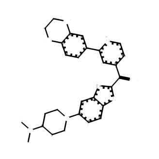 CN(C)C1CCN(c2ccc3nc(C(=O)c4ccnc(-c5ccc6c(c5)OCCO6)c4)[nH]c3c2)CC1